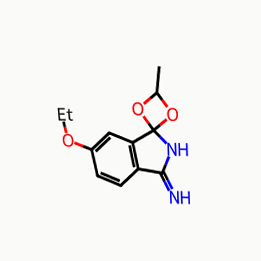 CCOc1ccc2c(c1)C1(NC2=N)OC(C)O1